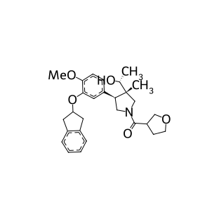 COc1ccc([C@@H]2CN(C(=O)C3CCOC3)C[C@@]2(C)[C@@H](C)O)cc1OC1Cc2ccccc2C1